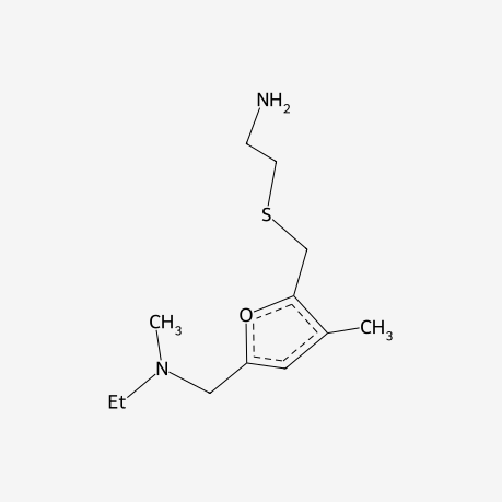 CCN(C)Cc1cc(C)c(CSCCN)o1